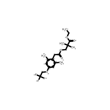 CCOC(=O)C(C)(C)COC(=O)Cc1c(C)cc(OCC(F)(F)F)cc1C